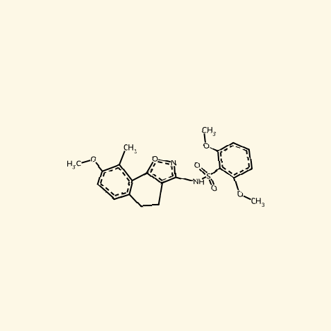 COc1ccc2c(c1C)-c1onc(NS(=O)(=O)c3c(OC)cccc3OC)c1CC2